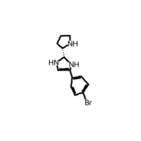 Brc1ccc(C2=CNC([C@@H]3CCCN3)N2)cc1